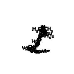 COc1ccc([C@H]2CCc3cc(O)ccc3[C@H]2c2ccc(N3CCN(CC4(O)CCN(c5ccc(C6=N[C@@H](C)c7nnc(C)n7-c7sc(C)c(C)c76)cc5)CC4)CC3)cc2Cl)cc1